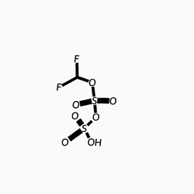 O=S(=O)(O)OS(=O)(=O)OC(F)F